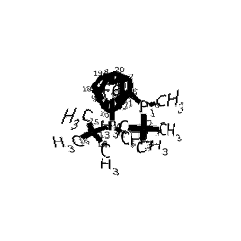 CP(C(C)(C)C)[C]12[CH]3[CH]4[CH]5[C]1(P(C)C(C)(C)C)[Fe]43521678[CH]2[CH]1[CH]6[CH]7[CH]28